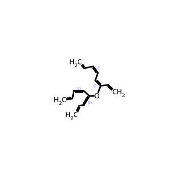 C=C/C=C\C=C(/C=C)OC(/C=C\C=C)=C/C=C